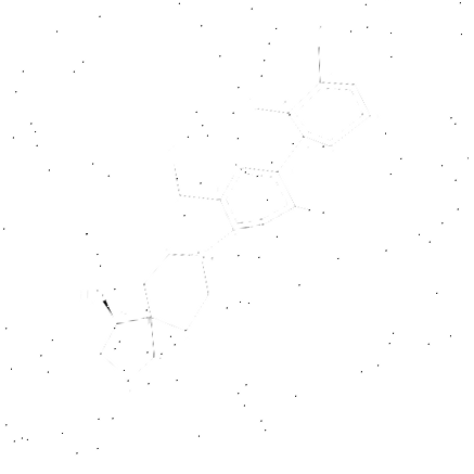 N[C@@H]1COCC12CCN(c1cc(O)c(-c3cccc(Cl)c3Cl)nc1CO)CC2